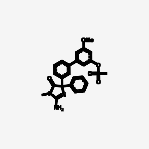 COc1cc(OS(C)(=O)=O)cc(-c2cccc(C3(c4ccccc4)N=C(N)N(C)C3=O)c2)c1